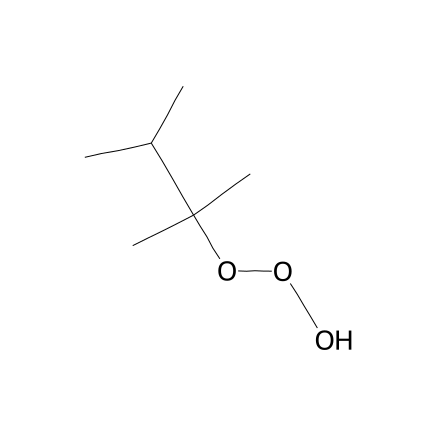 CC(C)C(C)(C)OOO